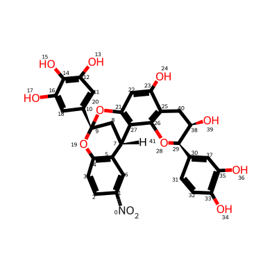 O=[N+]([O-])c1ccc2c(c1)[C@@H]1C[C@](c3cc(O)c(O)c(O)c3)(O2)Oc2cc(O)c3c(c21)O[C@H](c1ccc(O)c(O)c1)[C@H](O)C3